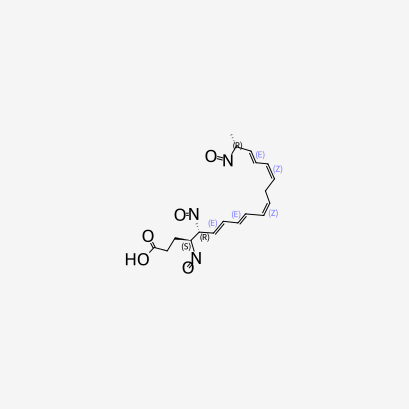 C[C@H](/C=C/C=C\C\C=C/C=C/C=C/[C@@H](N=O)[C@H](CCC(=O)O)N=O)N=O